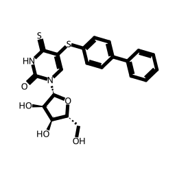 O=c1[nH]c(=S)c(Sc2ccc(-c3ccccc3)cc2)cn1[C@@H]1O[C@H](CO)[C@@H](O)[C@H]1O